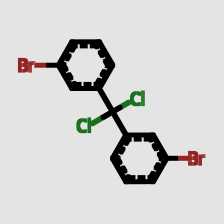 ClC(Cl)(c1cccc(Br)c1)c1cccc(Br)c1